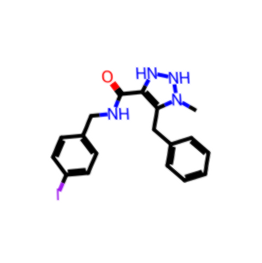 CN1NNC(C(=O)NCc2ccc(I)cc2)=C1Cc1ccccc1